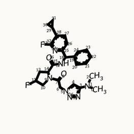 CN(C)c1cn(CC(=O)N2CC(F)CC2C(=O)NC(c2ccccc2)c2ccc(C3CC3)c(F)n2)nn1